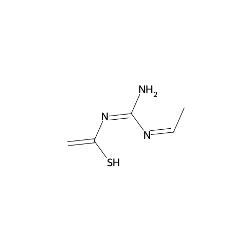 C=C(S)/N=C(N)\N=C/C